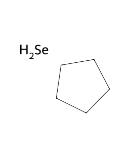 C1CCCC1.[SeH2]